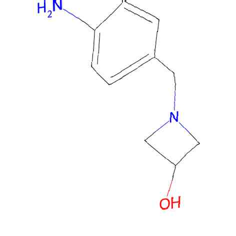 Nc1ccc(CN2CC(O)C2)cc1